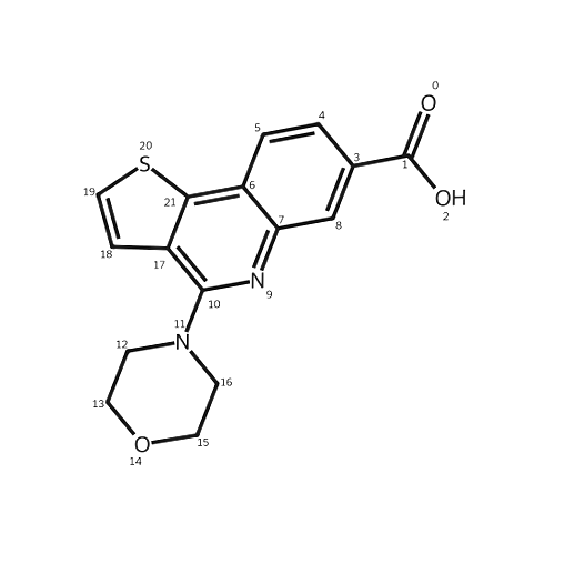 O=C(O)c1ccc2c(c1)nc(N1CCOCC1)c1ccsc12